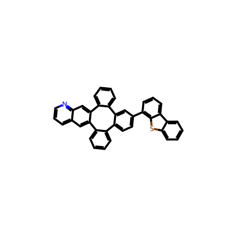 c1ccc2c(c1)-c1ccc(-c3cccc4c3sc3ccccc34)cc1-c1ccccc1-c1cc3ncccc3cc1-2